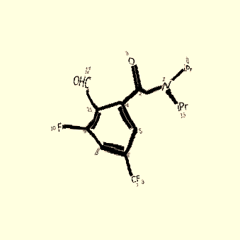 CC(C)N(C(=O)c1cc(C(F)(F)F)cc(F)c1C=O)C(C)C